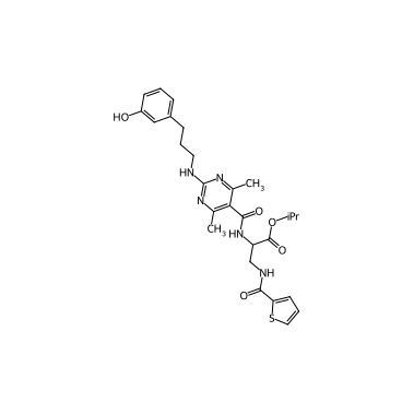 Cc1nc(NCCCc2cccc(O)c2)nc(C)c1C(=O)NC(CNC(=O)c1cccs1)C(=O)OC(C)C